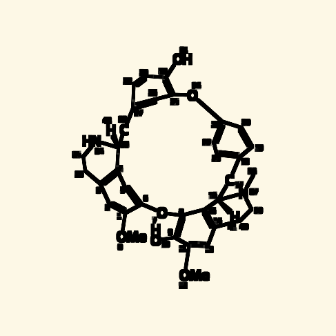 COc1cc2c3cc1Oc1c(O)c(OC)cc4c1[C@H](Cc1ccc(cc1)Oc1cc(ccc1O)C[C@H]3NCC2)N(C)CC4